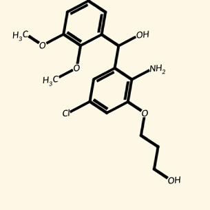 COc1cccc(C(O)c2cc(Cl)cc(OCCCO)c2N)c1OC